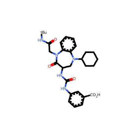 CC(C)(C)NC(=O)CN1C(=O)C(NC(=O)Nc2cccc(C(=O)O)c2)CN(C2CCCCC2)c2ccccc21